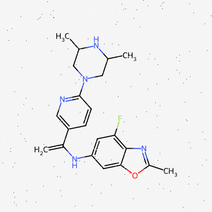 C=C(Nc1cc(F)c2nc(C)oc2c1)c1ccc(N2CC(C)NC(C)C2)nc1